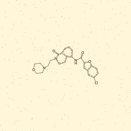 O=C(Nc1cccc2c(=O)n(CCN3CCOCC3)ccc12)c1cc2cc(Cl)ccc2o1